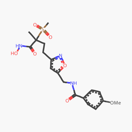 COc1ccc(C(=O)NCc2cc(CCC(C)(C(=O)NO)S(C)(=O)=O)no2)cc1